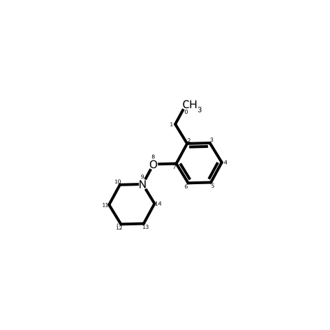 CCc1ccccc1ON1CC[CH]CC1